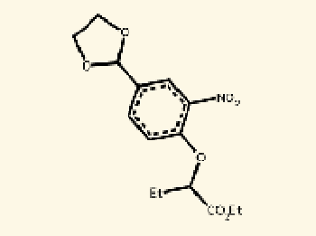 CCOC(=O)C(CC)Oc1ccc(C2OCCO2)cc1[N+](=O)[O-]